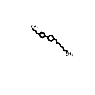 CCCCCCCCC1CC=C(c2ccc(CCCC)cc2)CC1